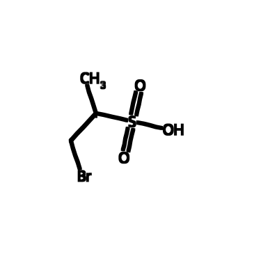 C[C](CBr)S(=O)(=O)O